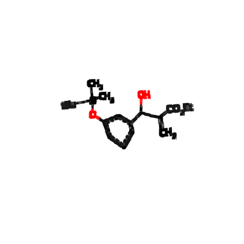 C=C(C(=O)OCC)C(O)c1cccc(O[Si](C)(C)C(C)(C)C)c1